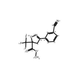 COC(=O)C1(C(F)(F)F)CC(c2cccc(C#N)c2)=NO1